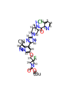 CC1(NC(=O)c2ncccc2Cl)CCN(c2cnc(-c3cc(OCC4(F)CN(C(=O)OC(C)(C)C)C4)cn4ncc(C#N)c34)cn2)CC1